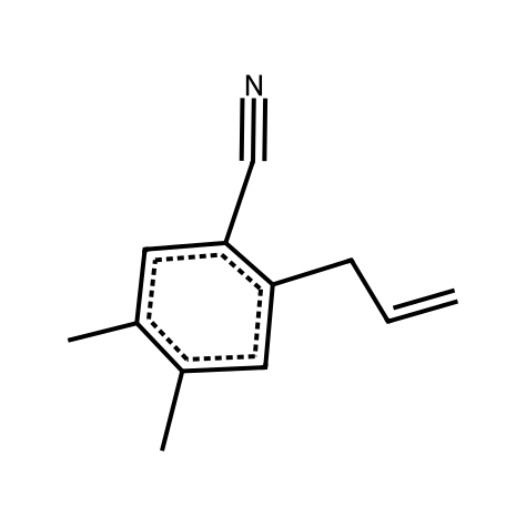 C=CCc1cc(C)c(C)cc1C#N